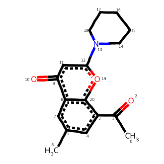 CC(=O)c1cc(C)cc2c(=O)cc(N3CCCCC3)oc12